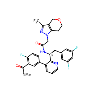 CNC(=O)c1cc(-c2cccnc2[C@H](Cc2cc(F)cc(F)c2)NC(=O)Cn2nc(C(F)(F)F)c3c2CCOC3)ccc1F